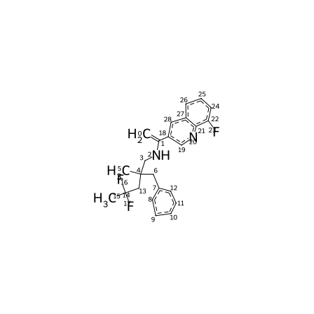 C=C(NCC(C)(Cc1ccccc1)CC(C)(F)F)c1cnc2c(F)cccc2c1